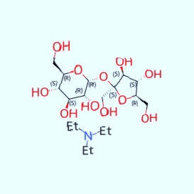 CCN(CC)CC.OC[C@H]1O[C@@](CO)(O[C@H]2O[C@H](CO)[C@@H](O)[C@H](O)[C@H]2O)[C@@H](O)[C@@H]1O